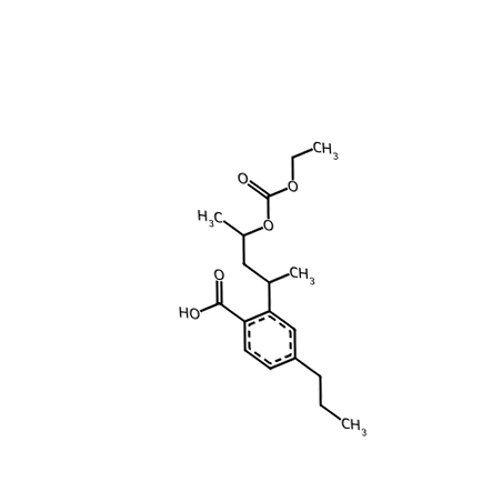 CCCc1ccc(C(=O)O)c(C(C)CC(C)OC(=O)OCC)c1